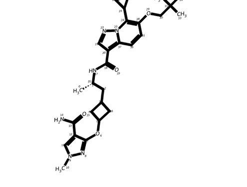 C[C@@H](CC1CC(Oc2nn(C)cc2C(N)=O)C1)NC(=O)c1cnn2c(C3CC3)c(OCC(C)(C)O)ccc12